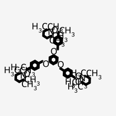 CC(ON1C(C)(C)CCCC1(C)C)c1ccc(COc2cc(OCc3ccc(C(C)ON4C(C)(C)CCCC4(C)C)cc3)cc(OCc3ccc(C(C)ON4C(C)(C)CCCC4(C)C)cc3)c2)cc1